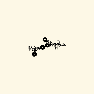 CC(C)(C)OC(=O)NCC(=O)NS(=O)(=O)c1ccc(-c2ccc(CCN(C[C@@H](O)c3ccccc3)C(=O)O)cc2)cc1OC1CCCCC1